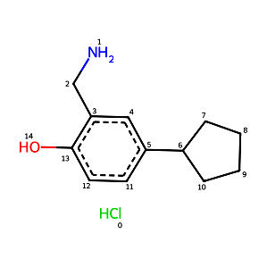 Cl.NCc1cc(C2CCCC2)ccc1O